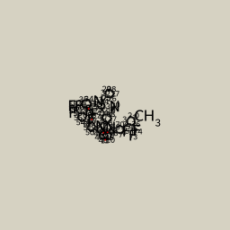 Cc1ccc(-c2ccc3c4ccccc4n(-c4cc(C#N)c(-c5cc(-c6ccccc6)nc(-c6ccccc6)c5)cc4-n4c5ccccc5c5ccc(-c6ccc(C(F)(F)F)cc6C(F)(F)F)cc54)c3c2)c(C(F)(F)F)c1